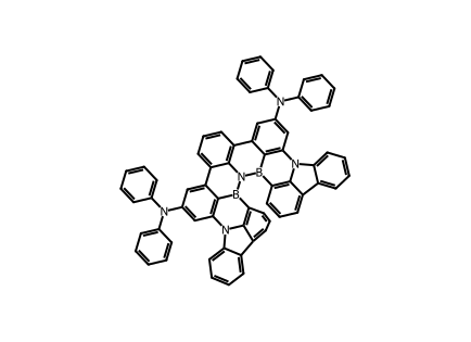 c1ccc(N(c2ccccc2)c2cc3c4c(c2)-n2c5ccccc5c5cccc(c52)B4N2B4c5c(cc(N(c6ccccc6)c6ccccc6)cc5-n5c6ccccc6c6cccc4c65)-c4cccc-3c42)cc1